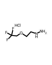 Cl.NNCCOCC(F)(F)F